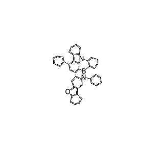 c1ccc(-c2cc3c4c5c2c2ccccc2n5-c2ccccc2B4N(c2ccccc2)c2cc4c(cc2-3)oc2ccccc24)cc1